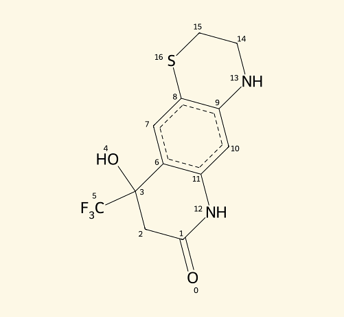 O=C1CC(O)(C(F)(F)F)c2cc3c(cc2N1)NCCS3